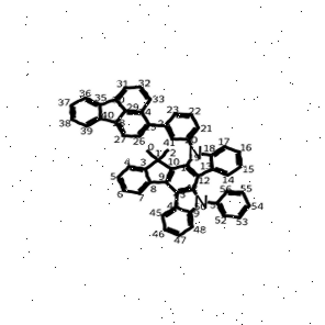 CC1(C)c2ccccc2-c2c1c1c(c3ccccc3n1-c1cccc(-c3ccc4c5c(cccc35)-c3ccccc3-4)c1)c1c2c2ccccc2n1-c1ccccc1